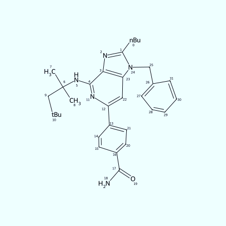 CCCCc1nc2c(NC(C)(C)CC(C)(C)C)nc(-c3ccc(C(N)=O)cc3)cc2n1Cc1ccccc1